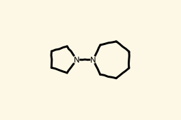 C1CCCN(N2CCCC2)CC1